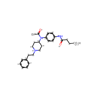 CCC(=O)N(c1ccc(NC(=O)CCC(=O)O)cc1)C1CCN(CCc2ccccc2)CC1